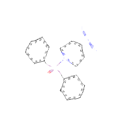 O=P(c1ccccc1)(c1ccccc1)[n+]1ccccc1.[N-]=[N+]=[N-]